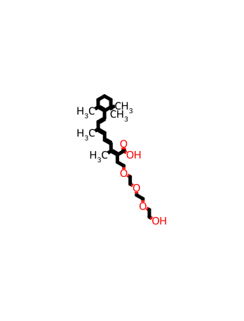 CC(=CC=C/C(C)=C(/CCOCCOCCOCCO)C(=O)O)/C=C/C1=C(C)CCCC1(C)C